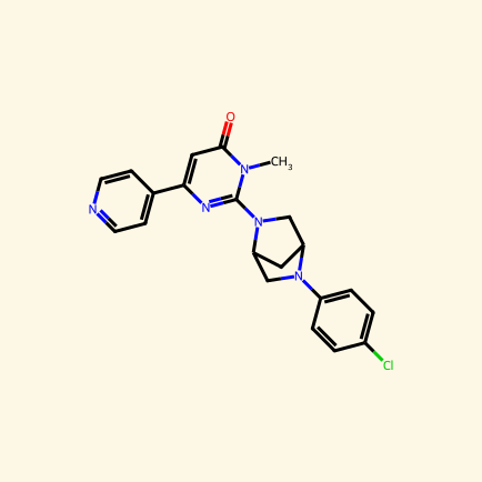 Cn1c(N2CC3CC2CN3c2ccc(Cl)cc2)nc(-c2ccncc2)cc1=O